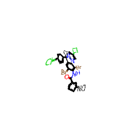 O=Nc1cccc(C(=O)Nc2c(Br)cc(C(c3ccc(Cl)cc3)(n3cc(Cl)cn3)C(F)(F)F)cc2Br)c1